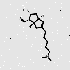 CN(C)CCCCCC1=C[C@H]2C[C@@H](O)[C@H](C=O)[C@H]2C1